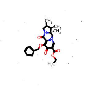 CCOC(=O)c1cn2c(c(OCc3ccccc3)c1=O)C(=O)N1CC(C)[C@@H](C)[C@@]1(C)C2